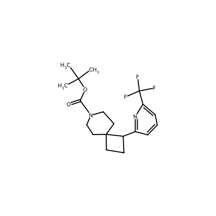 CC(C)(C)OC(=O)N1CCC2(CCC2c2cccc(C(F)(F)F)n2)CC1